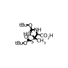 CC(C)(C)OC(=O)N[C@@H](C(=O)O)C(C)(C)SC(=O)OC(C)(C)C